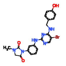 CN1CC(=O)N(c2cccc(Nc3ncc(Br)c(NCc4ccc(O)cc4)n3)c2)C1=O